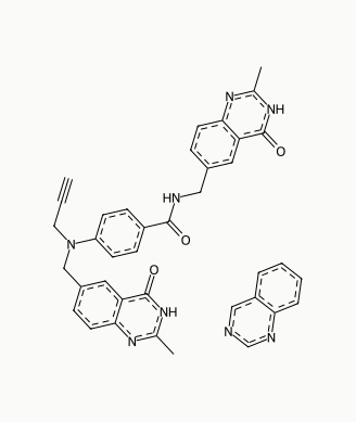 C#CCN(Cc1ccc2nc(C)[nH]c(=O)c2c1)c1ccc(C(=O)NCc2ccc3nc(C)[nH]c(=O)c3c2)cc1.c1ccc2ncncc2c1